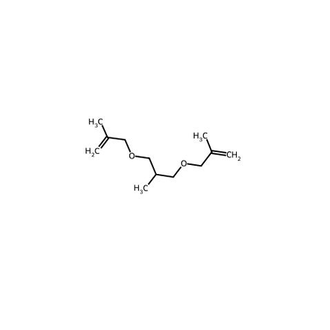 C=C(C)COCC(C)COCC(=C)C